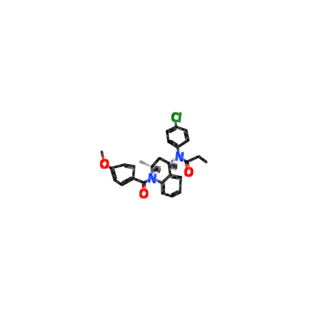 CCC(=O)N(c1ccc(Cl)cc1)[C@H]1C[C@@H](C)N(C(=O)c2ccc(OC)cc2)c2ccccc21